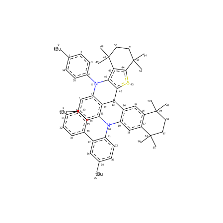 CC(C)(C)c1ccc(N2c3cc(C(C)(C)C)cc4c3B(c3cc5c(cc3N4c3ccc(C(C)(C)C)cc3-c3ccccc3)C(C)(C)CCC5(C)C)c3sc4c(c32)C(C)(C)CCC4(C)C)cc1